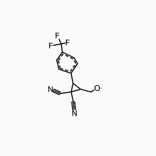 N#CC1(C#N)C(C[O])C1c1ccc(C(F)(F)F)cc1